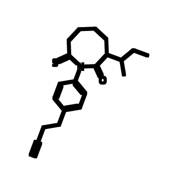 C#CCCc1ccc(N2C(=O)C(C(C)CC)CCCCC2=S)cc1